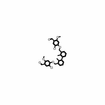 COc1cc(OCc2cccc(-c3cccc(COc4cc(OC)c(C=O)cc4Cl)c3C)c2C)c(Cl)cc1C=O